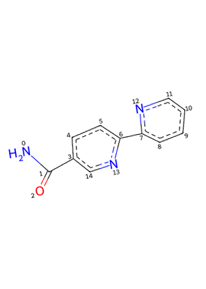 NC(=O)c1ccc(-c2ccccn2)nc1